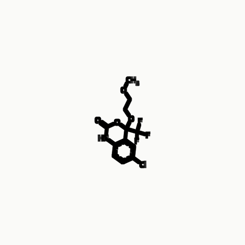 COCCOC1(C(F)(F)F)OC(=O)Nc2ccc(Cl)cc21